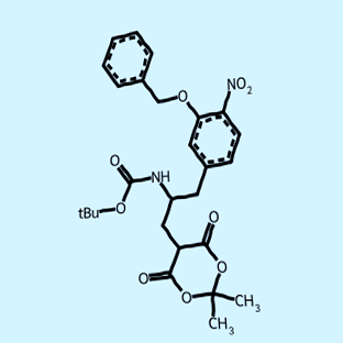 CC(C)(C)OC(=O)NC(Cc1ccc([N+](=O)[O-])c(OCc2ccccc2)c1)CC1C(=O)OC(C)(C)OC1=O